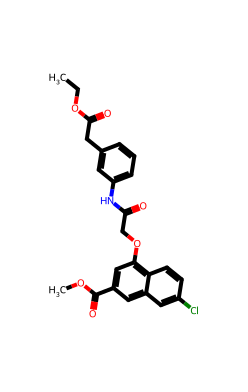 CCOC(=O)Cc1cccc(NC(=O)COc2cc(C(=O)OC)cc3cc(Cl)ccc23)c1